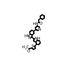 CC(=O)c1ccc(-c2cccc3[nH]c(-c4n[nH]c5ccc(-c6cncc(NC(=O)Cc7ccccc7)c6)cc45)cc23)s1